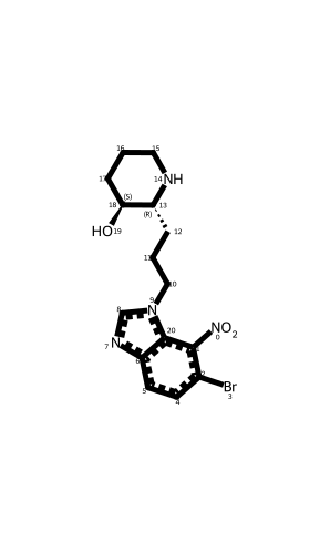 O=[N+]([O-])c1c(Br)ccc2ncn(CCC[C@H]3NCCC[C@@H]3O)c12